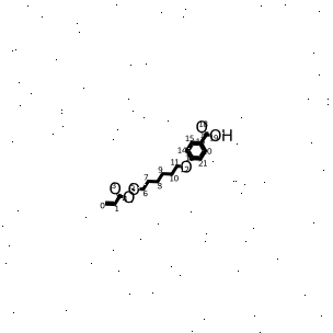 C=CC(=O)OOCCCCCCOc1ccc(C(=O)O)cc1